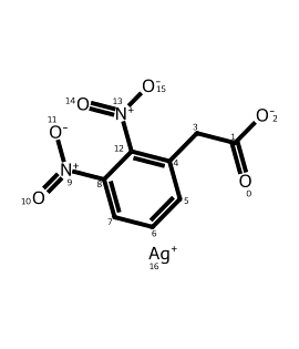 O=C([O-])Cc1cccc([N+](=O)[O-])c1[N+](=O)[O-].[Ag+]